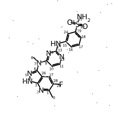 Cc1nc2[nH]nc(N(C)c3ccnc(Nc4cccc(S(N)(=O)=O)c4)n3)c2cc1F